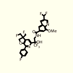 COc1cc(C(=O)NCC(O)(c2cc3c(c(-c4ccc(F)cc4)n2)OCC3(CF)CF)C(F)(F)F)cc2cc(C(F)F)cnc12